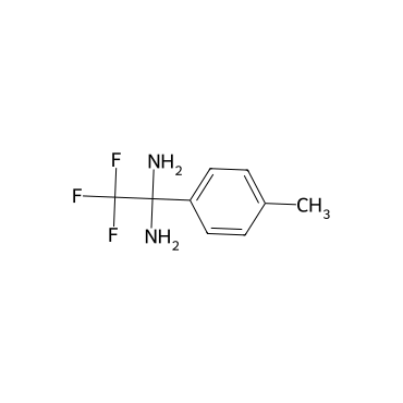 Cc1ccc(C(N)(N)C(F)(F)F)cc1